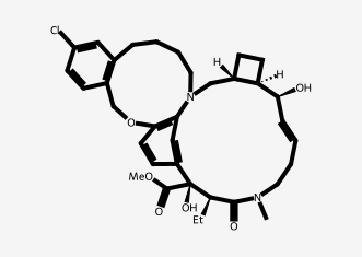 CC[C@@H]1C(=O)N(C)CC/C=C/[C@H](O)[C@@H]2CC[C@H]2CN2CCCCc3cc(Cl)ccc3COc3ccc(cc32)[C@@]1(O)C(=O)OC